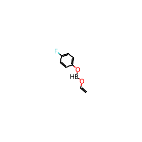 C=COBOc1ccc(F)cc1